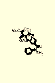 CC[C@H]1CN2CC(C(=O)N(C)c3ccccc3)CC2C[C@@H]1/C(=C\OC)C(=O)OC